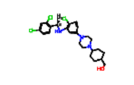 C[C@@H](Nc1cc(N2CCN(C3CCC(CO)CC3)CC2)ccc1Cl)c1ccc(Cl)cc1Cl